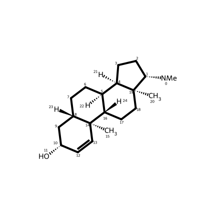 CN[C@H]1CC[C@@H]2[C@@H]3CC[C@H]4C[C@@H](O)C=C[C@]4(C)[C@H]3CC[C@]12C